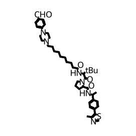 Cc1ncsc1-c1ccc(C(C)NC(=O)C2CCCN2C(=O)C(NC(=O)CCCCCCCCCN2CCN(c3ccc(C=O)cc3)CC2)C(C)(C)C)cc1